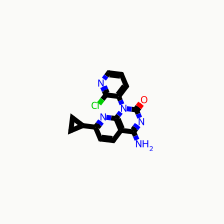 Nc1nc(=O)n(-c2cccnc2Cl)c2nc(C3CC3)ccc12